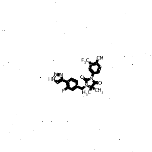 CC1(C)C(=O)N(c2ccc(C#N)c(C(F)(F)F)c2)C(=O)N1Cc1ccc(-c2c[nH]nn2)c(F)c1